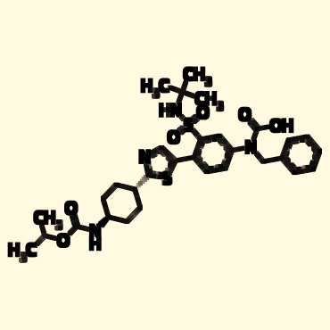 CC(C)OC(=O)N[C@H]1CC[C@H](c2ncc(-c3ccc(N(Cc4ccccc4)C(=O)O)cc3S(=O)(=O)NC(C)(C)C)s2)CC1